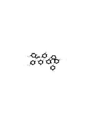 Cc1cc2c3c(c1)N(c1ccc(N(c4ccc(C(C)(C)C)cc4)c4ccc(C(C)(C)C)cc4)c4c1sc1ccccc14)c1ccc(C(C)(C)C)cc1B3c1sc3ccc(C(C)(C)C)cc3c1N2c1ccc(C(C)(C)C)cc1